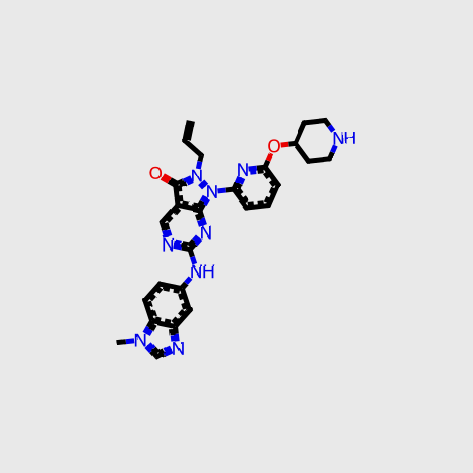 C=CCn1c(=O)c2cnc(Nc3ccc4c(c3)ncn4C)nc2n1-c1cccc(OC2CCNCC2)n1